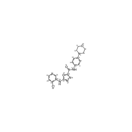 O=C(Nc1ccc(N2CCOCC2)cc1)c1nnc(Nc2ccccc2Cl)o1